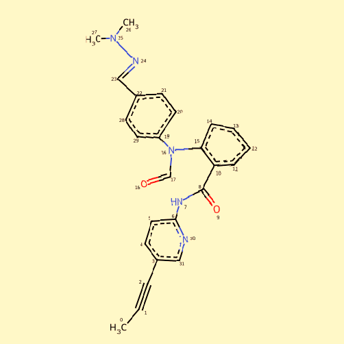 CC#Cc1ccc(NC(=O)c2ccccc2N(C=O)c2ccc(C=NN(C)C)cc2)nc1